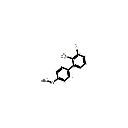 CCCCOc1ccc(-c2cccc(Cl)c2[N+](=O)[O-])cc1